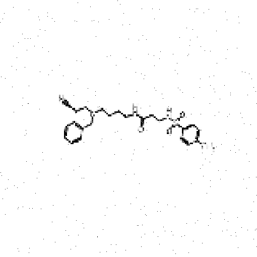 Cc1ccc(S(=O)(=O)NCCC(=O)NCCCCN(CCC#N)Cc2ccccc2)cc1